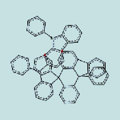 c1ccc(N(c2ccc3c4ccccc4n(-c4ccccc4)c3c2)c2ccccc2C2(c3ccccc3)c3ccccc3C3(c4ccccc4)c4ccccc4-c4cccc2c43)cc1